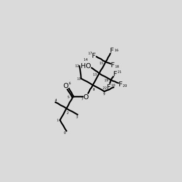 CCC(C)(C)C(=O)OC(CC)(CC)C(O)(C(F)(F)F)C(F)(F)F